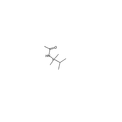 CC(=O)N[Si](C)(C)C(C)C